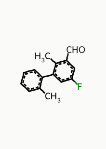 Cc1ccccc1-c1cc(F)cc(C=O)c1C